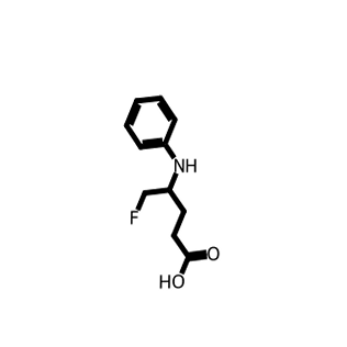 O=C(O)CCC(CF)Nc1ccccc1